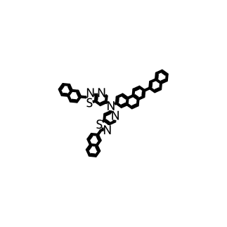 c1ccc2cc(-c3ccc4c(ccc5cc(N(c6cnc7nc(-c8ccc9ccccc9c8)sc7c6)c6cc7sc(-c8ccc9ccccc9c8)nc7cn6)ccc54)c3)ccc2c1